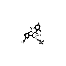 COc1cc(C)cc(C)c1C(O)N1Cc2ccc(C#N)cc2C1COCC[Si](C)(C)C